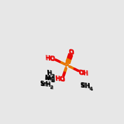 O=P(O)(O)O.[MgH2].[SiH4].[SrH2]